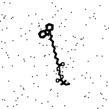 CCC(C)(C)C(=O)OCCOC(=O)CCCCCCCCCCn1c2ccccc2c2ccccc21